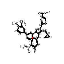 Cc1cc(-c2cccc(-c3nn(-c4nc(C(=O)O)cs4)c(CC4CC4)c3Cc3ccc([S+](N)[O-])c(F)c3)c2)ccc1Cl